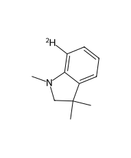 [2H]c1cccc2c1N(C)CC2(C)C